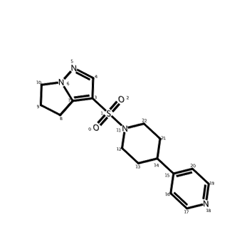 O=S(=O)(c1cnn2c1CCC2)N1CCC(c2ccncc2)CC1